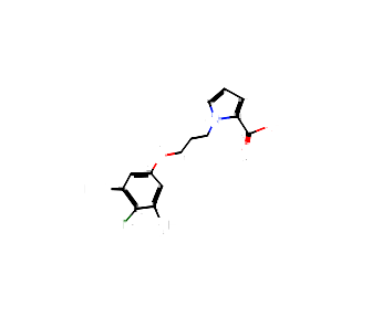 Cc1cc(OCCCn2cccc2C(=O)O)cc(C)c1Cl